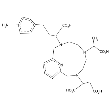 CC(C(=O)O)N1CCN(C(CCc2ccc(N)cc2)C(=O)O)Cc2cccc(n2)CN(C(CC(=O)O)C(=O)O)CC1